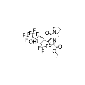 CCOC(=O)c1nc(C(=O)N2CCC[C@@H]2C)c(-c2ccc(C(O)(C(F)(F)F)C(F)(F)F)cc2C(F)(F)F)s1